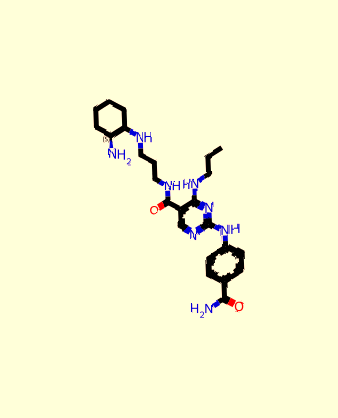 CCCNc1nc(Nc2ccc(C(N)=O)cc2)ncc1C(=O)NCCCNC1CCCC[C@@H]1N